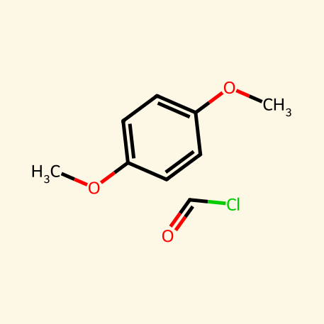 COc1ccc(OC)cc1.O=CCl